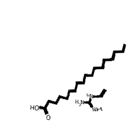 CCCCCCCCCCCCCCCCCC(=O)O.CCNC(=N)N